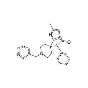 CC(=O)N(c1ccccc1)C1(c2nc(C)cs2)CCN(Cc2cccnc2)CC1